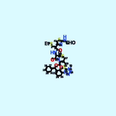 CCSC=C(C(=O)NC1C(=O)N2C(C(=O)OC(c3ccccc3)c3ccccc3)=C(CSc3nnnn3C)CS[C@@H]12)c1csc(NC=O)n1